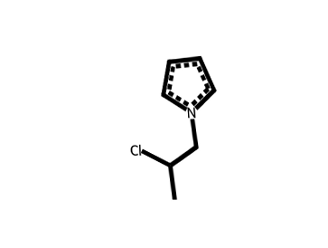 CC(Cl)Cn1cccc1